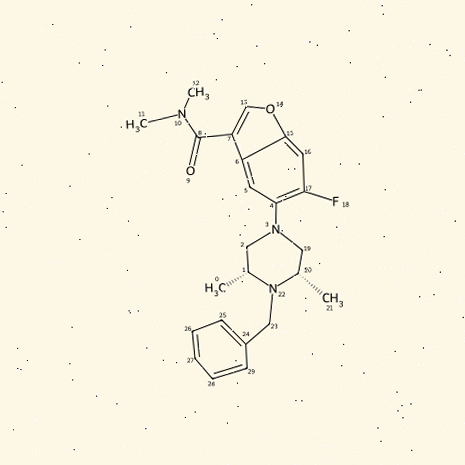 C[C@@H]1CN(c2cc3c(C(=O)N(C)C)coc3cc2F)C[C@H](C)N1Cc1ccccc1